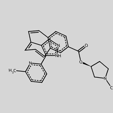 Cc1cccc(-c2[nH]ncc2C2=C\C=C\c3cc(C(=O)O[C@H]4CCN(C)C4)ccc3/C=C\2)n1